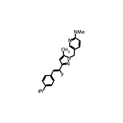 CNc1ccc(Cn2nc(/C(F)=C/c3ccc(C(C)C)cc3)cc2C)cn1